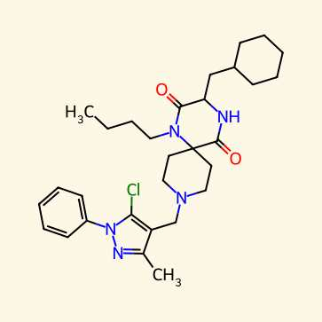 CCCCN1C(=O)C(CC2CCCCC2)NC(=O)C12CCN(Cc1c(C)nn(-c3ccccc3)c1Cl)CC2